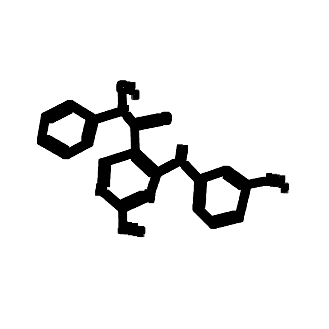 CSc1ncc(C(=O)N(C)c2ccccc2)c(Nc2cccc(N)c2)n1